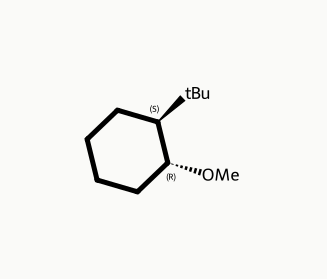 CO[C@@H]1CCCC[C@H]1C(C)(C)C